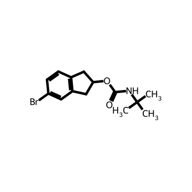 CC(C)(C)NC(=O)OC1Cc2ccc(Br)cc2C1